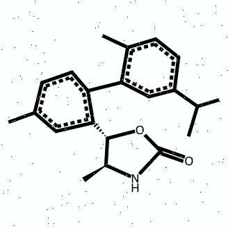 Cc1ccc(-c2cc(C(C)C)ccc2C)c([C@@H]2OC(=O)N[C@H]2C)c1